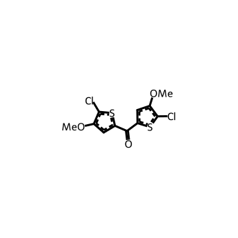 COc1cc(C(=O)c2cc(OC)c(Cl)s2)sc1Cl